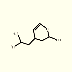 [2H]C(B)CC1C=COC(O)C1